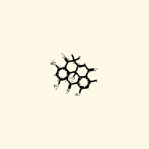 Cc1cc(O)c2c3c1C(=O)C=C1C(C)(C)C(=O)c4c(O)cc(O)c(c4C13O)C2=O